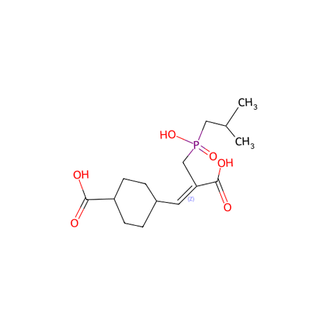 CC(C)CP(=O)(O)C/C(=C\C1CCC(C(=O)O)CC1)C(=O)O